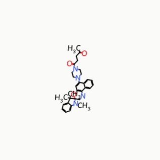 CC(=O)CCC(=O)N1CCN(c2cc3c(c4ccccc24)N=CC2(O3)N(C)c3ccccc3C2(C)C)CC1